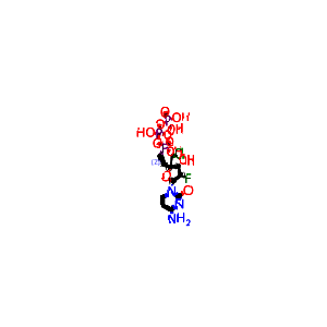 Nc1ccn([C@@H]2O[C@@](/C=C\P(=O)(O)OP(=O)(O)OP(=O)(O)O)(CCl)[C@@H](O)[C@H]2F)c(=O)n1